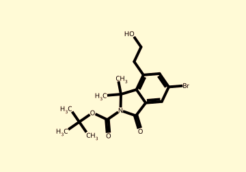 CC(C)(C)OC(=O)N1C(=O)c2cc(Br)cc(CCO)c2C1(C)C